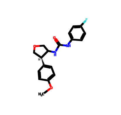 COc1ccc([C@@H]2COCC2NC(=O)Nc2ccc(F)cc2)cc1